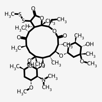 CC[C@H]1OC(=O)[C@H](C)[C@@H](O[C@H]2C[C@@](C)(OC)[C@@H](O)[C@H](C)O2)[C@H](C)[C@@H](O[C@@H]2O[C@H](C)C[C@@H](OC)[C@@H]2N(C)C)[C@](C)(OC)C[C@@H](C)C(=O)[C@H](C)[C@H]2C(SSC)C(=O)O[C@@]21C